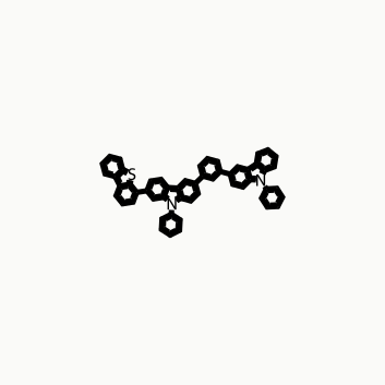 c1ccc(-n2c3ccccc3c3cc(-c4cccc(-c5ccc6c(c5)c5ccc(-c7cccc8c7sc7ccccc78)cc5n6-c5ccccc5)c4)ccc32)cc1